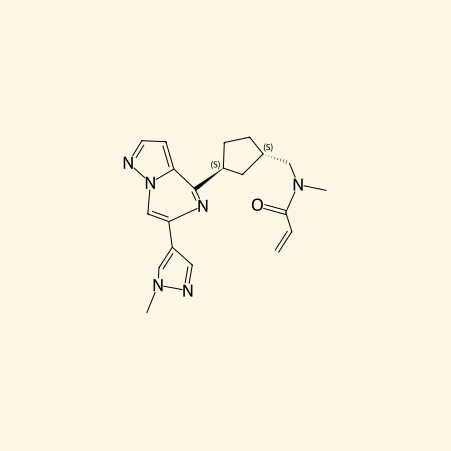 C=CC(=O)N(C)C[C@H]1CC[C@H](c2nc(-c3cnn(C)c3)cn3nccc23)C1